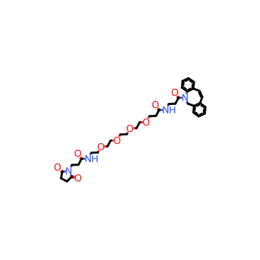 O=C(CCOCCOCCOCCOCCNC(=O)CCN1C(=O)CCC1=O)NCCC(=O)N1Cc2ccccc2/C=C\c2ccccc21